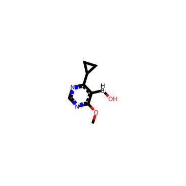 COc1ncnc(C2CC2)c1BO